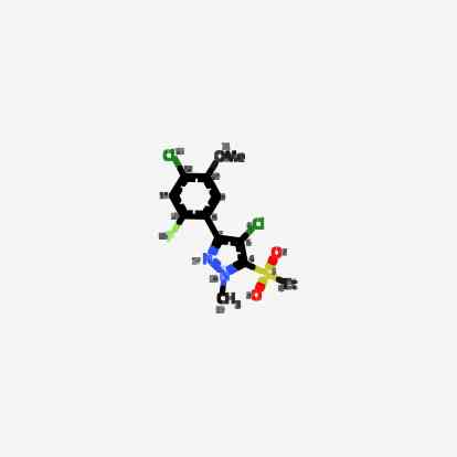 CCS(=O)(=O)c1c(Cl)c(-c2cc(OC)c(Cl)cc2F)nn1C